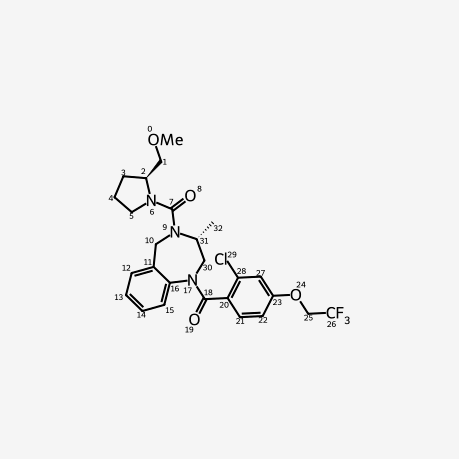 COC[C@@H]1CCCN1C(=O)N1Cc2ccccc2N(C(=O)c2ccc(OCC(F)(F)F)cc2Cl)C[C@H]1C